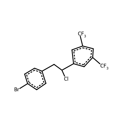 FC(F)(F)c1cc(C(Cl)Cc2ccc(Br)cc2)cc(C(F)(F)F)c1